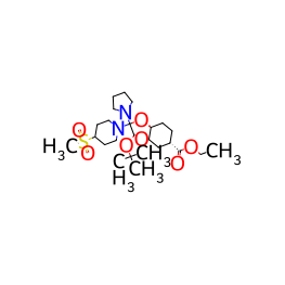 CCOC(=O)[C@H]1CC[C@H](OC(C(=O)OC(C)(C)C)(N2CCCC2)N2CCC(S(C)(=O)=O)CC2)CC1